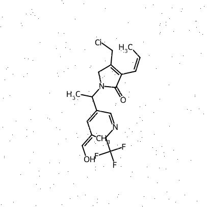 C/C=C\C1=C(CCl)CN(C(C)C(/C=N\CC(F)(F)F)=C/C(C)=C/O)C1=O